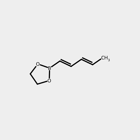 CC=CC=CB1OCCO1